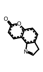 O=c1ccc2c3c(ccc2o1)CC=N3